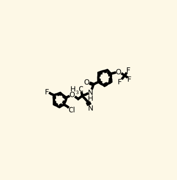 CC(C#N)(COc1cc(F)ccc1Cl)NC(=O)c1ccc(OC(F)(F)F)cc1